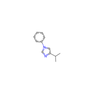 CC(C)c1cn(-c2ccccc2)cn1